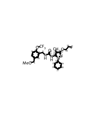 COCc1ccc(OC(F)(F)F)c(CNC(=O)Nc2c(C)c(OCCF)nn2-c2ccccc2)c1